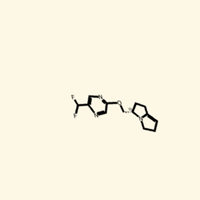 FC(F)c1cnc(OC[C@@H]2CCC3=CCCN32)cn1